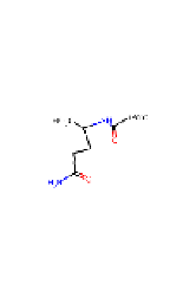 CCCC(C)C(=O)NC(CCC(N)=O)C(=O)O